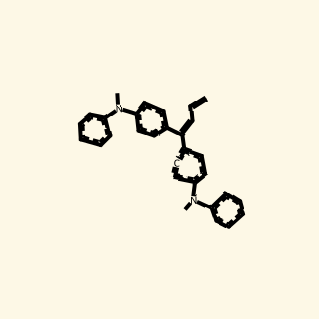 C=CC=C(c1ccc(N(C)c2ccccc2)cc1)c1ccc(N(C)c2ccccc2)cc1